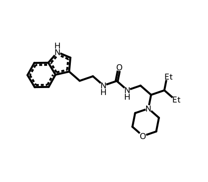 CCC(CC)C(CNC(=O)NCCc1c[nH]c2ccccc12)N1CCOCC1